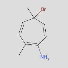 CC1=C(N)C=CC(C)(Br)C=C1